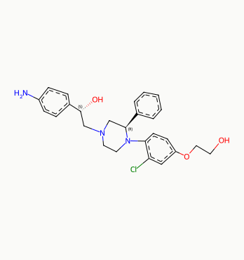 Nc1ccc([C@H](O)CN2CCN(c3ccc(OCCO)cc3Cl)[C@H](c3ccccc3)C2)cc1